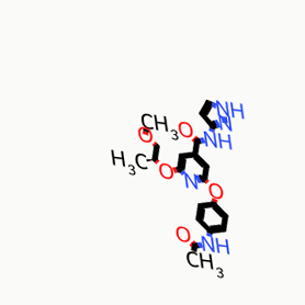 COC[C@@H](C)Oc1cc(C(=O)Nc2cc[nH]n2)cc(Oc2ccc(NC(C)=O)cc2)n1